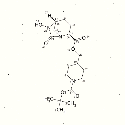 CC(C)(C)OC(=O)N1CCC(COC(=O)[C@@H]2CC[C@@H]3CN2C(=O)N3O)CC1